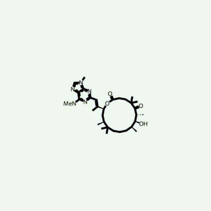 CNc1nc(/C=C(\C)[C@@H]2C[C@H](C)C(C)(C)CCC[C@H](C)[C@H](O)[C@@H](C)C(=O)C(C)(C)CCC(=O)O2)nc2c1ncn2C